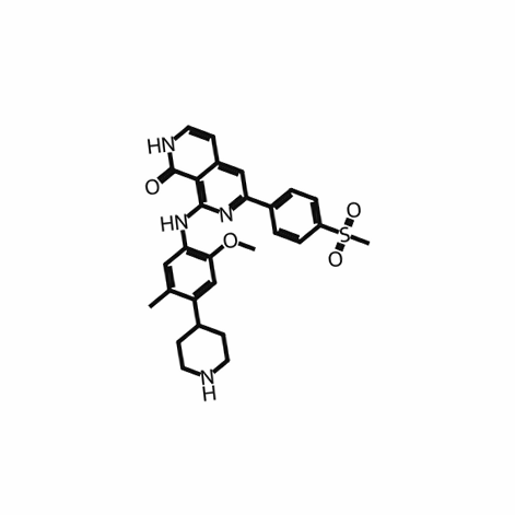 COc1cc(C2CCNCC2)c(C)cc1Nc1nc(-c2ccc(S(C)(=O)=O)cc2)cc2cc[nH]c(=O)c12